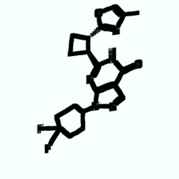 Cc1coc([C@H]2CC[C@@H]2c2nc3c(cnn3C3CCC(F)(F)CC3)c(=O)[nH]2)n1